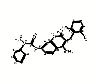 Cc1c(Cc2c(F)cccc2Cl)c(=O)oc2cc(OC(=O)N(C)c3ccccc3)ccc12